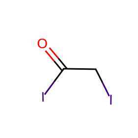 O=C(I)CI